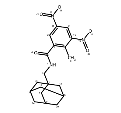 Cc1c(C(=O)NCC23CC4CC(CC(C4)C2)C3)cc([N+](=O)[O-])cc1[N+](=O)[O-]